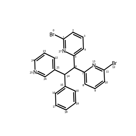 Brc1cccc(C(c2cccc(Br)n2)C(c2ccccc2)c2cccnc2)n1